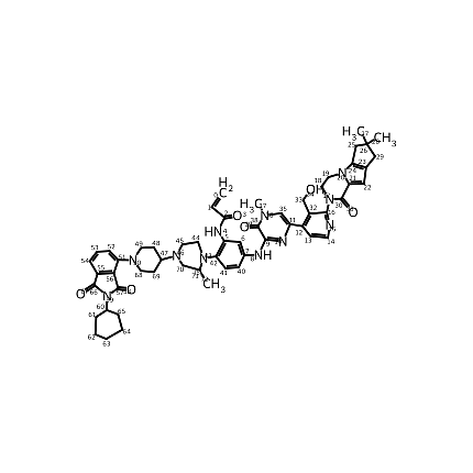 C=CC(=O)Nc1cc(Nc2nc(-c3ccnc(N4CCn5c(cc6c5CC(C)(C)C6)C4=O)c3CO)cn(C)c2=O)ccc1N1CCN(C2CCN(c3cccc4c3C(=O)N(C3CCCCC3)C4=O)CC2)C[C@@H]1C